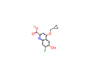 COC(=O)c1cc(OCC2CC2)c2cc(O)c(F)cc2n1